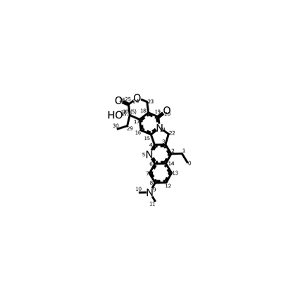 CCc1c2c(nc3cc(N(C)C)ccc13)-c1cc3c(c(=O)n1C2)COC(=O)[C@]3(O)CC